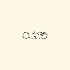 O=C(O)C1(N(Cc2ccccc2)Cc2ccccc2)CC1